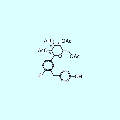 CC(=O)OCC1OC(c2ccc(Cl)c(Cc3ccc(O)cc3)c2)[C@H](OC(C)=O)[C@@H](OC(C)=O)[C@@H]1OC(C)=O